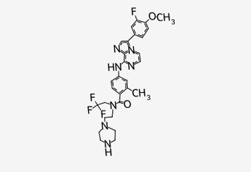 COc1ccc(-c2cnc3c(Nc4ccc(C(=O)N(CCN5CCNCC5)CC(F)(F)F)c(C)c4)nccn23)cc1F